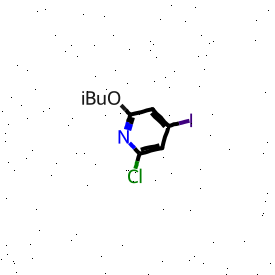 CC(C)COc1cc(I)cc(Cl)n1